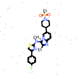 CCc1nc2ccc(C3CCN(S(=O)(=O)CC)CC3)cn2c1N(C)c1nc(-c2ccc(F)cc2)cs1